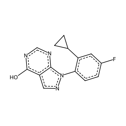 Oc1ncnc2c1cnn2-c1ccc(F)cc1C1CC1